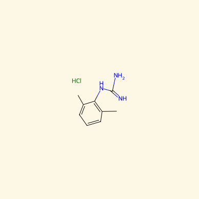 Cc1cccc(C)c1NC(=N)N.Cl